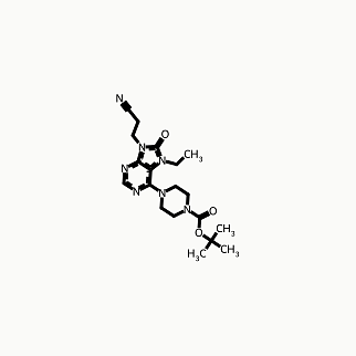 CCn1c(=O)n(CCC#N)c2ncnc(N3CCN(C(=O)OC(C)(C)C)CC3)c21